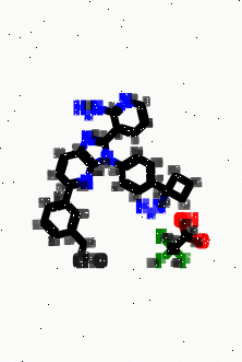 Nc1ncccc1-c1nc2ccc(-c3cccc(CC=O)c3)nc2n1-c1ccc(C2(N)CCC2)cc1.O=C(O)C(F)(F)F